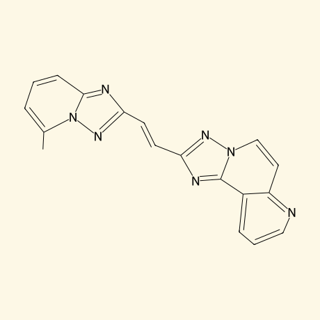 Cc1cccc2nc(/C=C/c3nc4c5cccnc5ccn4n3)nn12